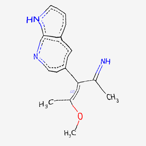 CO/C(C)=C(\C(C)=N)c1cnc2[nH]ccc2c1